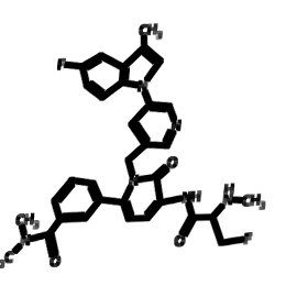 CNC(CF)C(=O)Nc1ccc(-c2cccc(C(=O)N(C)C)c2)n(Cc2cncc(-n3cc(C)c4cc(F)ccc43)c2)c1=O